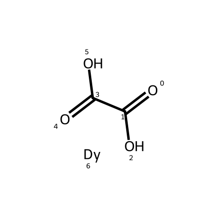 O=C(O)C(=O)O.[Dy]